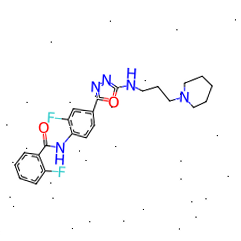 O=C(Nc1ccc(-c2nnc(NCCCN3CCCCC3)o2)cc1F)c1ccccc1F